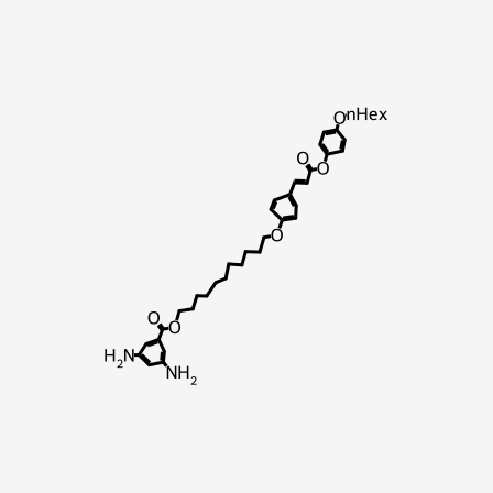 CCCCCCOc1ccc(OC(=O)C=Cc2ccc(OCCCCCCCCCCCOC(=O)c3cc(N)cc(N)c3)cc2)cc1